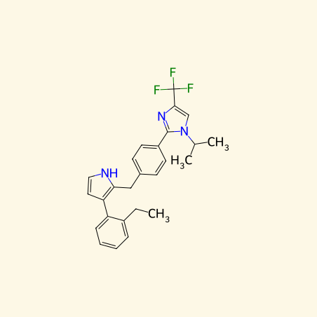 CCc1ccccc1-c1cc[nH]c1Cc1ccc(-c2nc(C(F)(F)F)cn2C(C)C)cc1